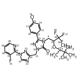 CC(C)(C)[Si](C)(C)OC(Cn1c(-c2ccc(Cl)cc2)nn(Cc2ncn(-c3ncccc3F)n2)c1=O)C(F)(F)F